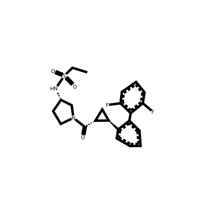 CCS(=O)(=O)N[C@H]1CCN(C(=O)[C@@H]2C[C@H]2c2ccccc2-c2c(F)cccc2F)C1